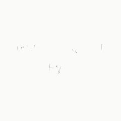 O=C(O)c1ccc(C(F)F)nc1Nc1ccccc1